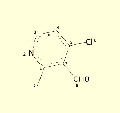 Cc1nccc(Cl)c1C=O